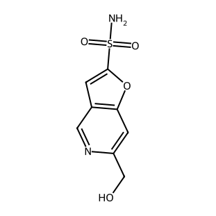 NS(=O)(=O)c1cc2cnc(CO)cc2o1